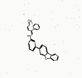 C=C/C=C\C(=C/Nc1cccc(-c2ccc3c(c2)oc2ccccc23)c1)c1ccccc1